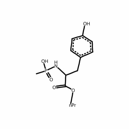 CCCOC(=O)C(Cc1ccc(O)cc1)NP(C)(=O)O